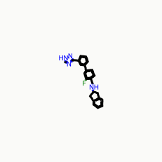 Fc1cc(-c2cccc(-c3nc[nH]n3)c2)ccc1CNC1Cc2ccccc2C1